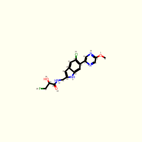 COc1cnc(-c2cc3[nH]c(CNC(=O)C(O)CF)cc3cc2Cl)cn1